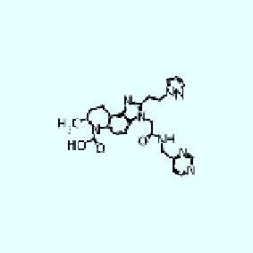 C[C@H]1CCc2c(ccc3c2nc(CCn2cccn2)n3CC(=O)NCc2ccncn2)N1C(=O)O